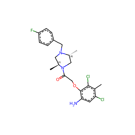 Cc1c(Cl)cc(N)c(OCC(=O)N2C[C@@H](C)N(Cc3ccc(F)cc3)C[C@@H]2C)c1Cl